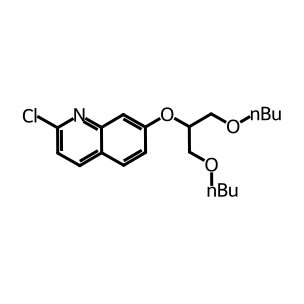 CCCCOCC(COCCCC)Oc1ccc2ccc(Cl)nc2c1